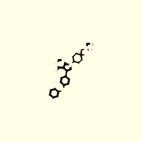 Nc1ncnc2c1c(-c1ccc(Oc3ccccc3)cc1)cn2C1CCC(O)(Cn2cnnn2)CC1